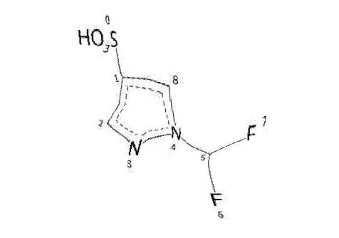 O=S(=O)(O)c1cnn(C(F)F)c1